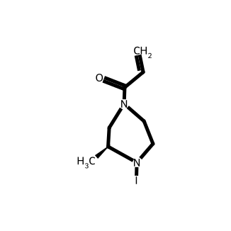 C=CC(=O)N1CCN(I)[C@@H](C)C1